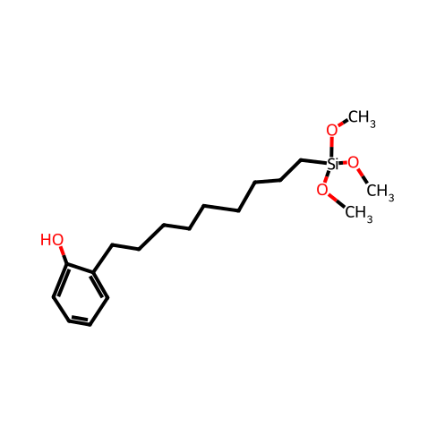 CO[Si](CCCCCCCCCc1ccccc1O)(OC)OC